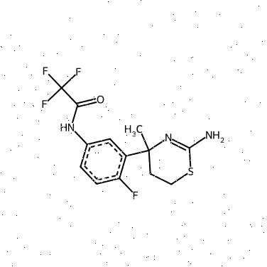 CC1(c2cc(NC(=O)C(F)(F)F)ccc2F)CCSC(N)=N1